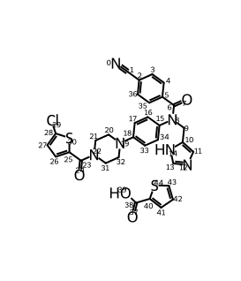 N#Cc1ccc(C(=O)N(Cc2cnc[nH]2)c2ccc(N3CCN(C(=O)c4ccc(Cl)s4)CC3)cc2)cc1.O=C(O)c1cccs1